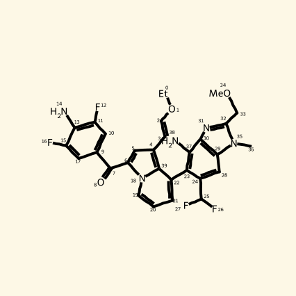 CCOC=Cc1cc(C(=O)c2cc(F)c(N)c(F)c2)n2cccc(-c3c(C(F)F)cc4c(nc(COC)n4C)c3N)c12